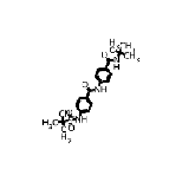 CC(C)(C)NC(=O)c1ccc(NC(=O)c2ccc(NS(=O)(=O)C(C)(C)C)cc2)cc1